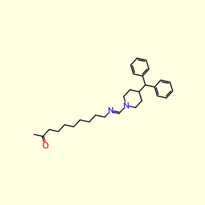 CC(=O)CCCCCCCCN=CN1CCC(C(c2ccccc2)c2ccccc2)CC1